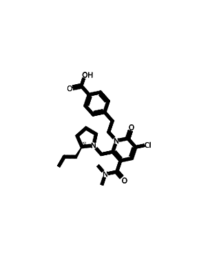 CCC[C@H]1CCCN1Cc1c(C(=O)N(C)C)cc(Cl)c(=O)n1CCc1ccc(C(=O)O)cc1